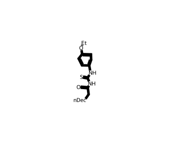 CCCCCCCCCCCC(=O)NC(=S)Nc1ccc(OCC)cc1